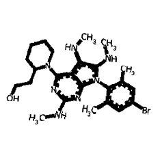 CNc1nc(N2CCCCC2CCO)c2c(NC)c(NC)n(-c3c(C)cc(Br)cc3C)c2n1